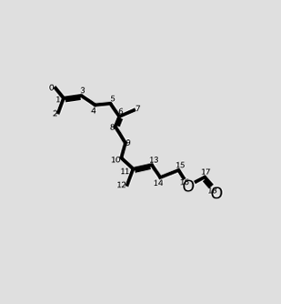 CC(C)=CCCC(C)=CCCC(C)=CCCOC=O